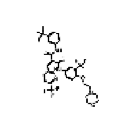 O=C(Nc1cccc(C(F)(F)F)c1)C(=Cc1ccc(C(F)(F)F)nc1)C(=O)Nc1ccc(OCCN2CCOCC2)c(C(F)(F)F)c1